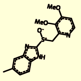 COc1ccnc(C[S+]([O-])c2nc3cc(C)ccc3[nH]2)c1OC